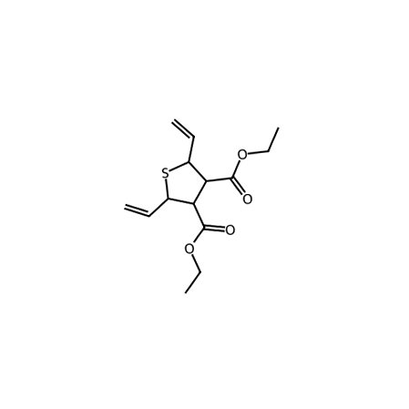 C=CC1SC(C=C)C(C(=O)OCC)C1C(=O)OCC